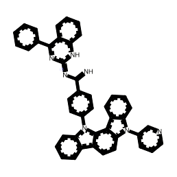 N=C(/N=c1/nc(-c2ccccc2)c2ccccc2[nH]1)c1ccc(-n2c3ccccc3c3ccc4c(c5ccccc5n4-c4cccnc4)c32)cc1